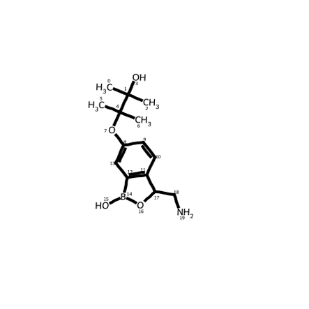 CC(C)(O)C(C)(C)Oc1ccc2c(c1)B(O)OC2CN